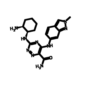 Cn1cc2ccc(Nc3nc(N[C@@H]4CCCC[C@@H]4N)nnc3C(N)=O)cc2n1